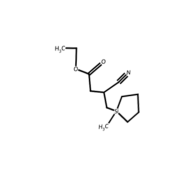 CCOC(=O)CC(C#N)C[Si]1(C)CCCC1